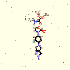 Cn1cc2c(n1)CN(c1ccc(N3C[C@H](CN(C(=O)O)C(=O)C(OC(C)(C)C)OC(C)(C)C)OC3=O)cc1F)C2